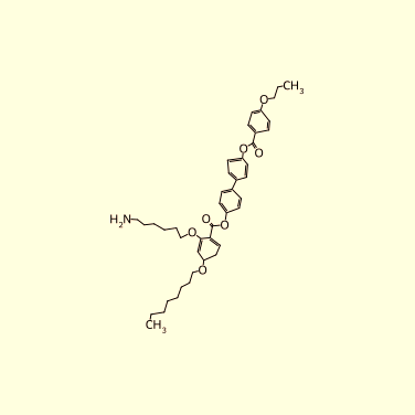 CCCCCCCCOC1C=C(OCCCCCCN)C(C(=O)Oc2ccc(-c3ccc(OC(=O)c4ccc(OCCC)cc4)cc3)cc2)=CC1